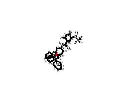 Cc1nc2ccccc2n1C1CC2CCC(C1)N2CCC1(c2ccccc2)CCC(NC(=O)c2cc(NS(C)(=O)=O)c(Cl)cc2F)CC1